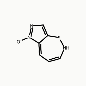 [O-][N+]1=NC=C2SNC=CC=C21